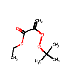 C=C(OOC(C)(C)C)C(=O)OCC